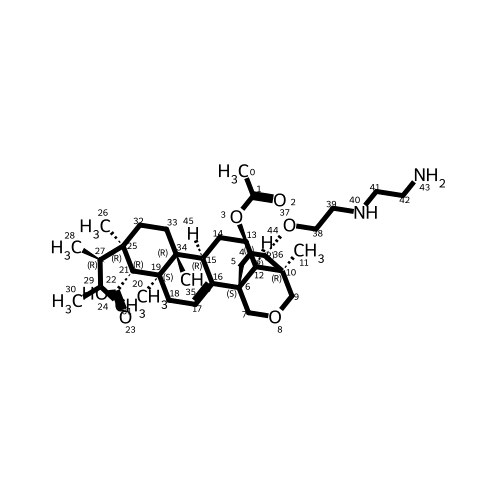 CC(=O)O[C@@H]1C[C@]23COC[C@@](C)([C@@H]2CC[C@H]2C3=CC[C@@]3(C)[C@H](C(=O)O)[C@@](C)([C@H](C)C(C)C)CC[C@]23C)[C@H]1OCCNCCN